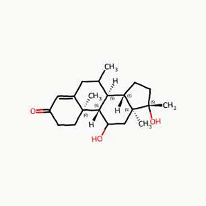 CC1CC2=CC(=O)CC[C@]2(C)[C@H]2C(O)C[C@@]3(C)[C@@H](CC[C@]3(C)O)[C@H]12